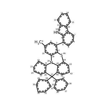 Cc1cc(-c2cccc3c2[nH]c2ccccc23)c2c(c1)N1c3ccccc3C(c3ccccc3)(c3ccccc3)c3cccc(c31)S2